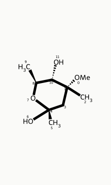 CO[C@]1(C)C[C@](C)(O)O[C@@H](C)[C@@H]1O